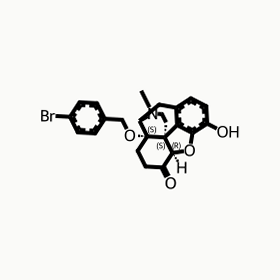 CN1CC[C@]23c4c5ccc(O)c4O[C@H]2C(=O)CC[C@@]3(OCc2ccc(Br)cc2)C1C5